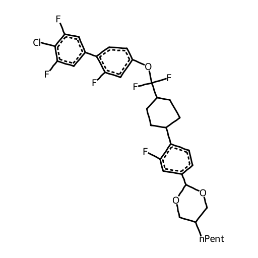 CCCCCC1COC(c2ccc(C3CCC(C(F)(F)Oc4ccc(-c5cc(F)c(Cl)c(F)c5)c(F)c4)CC3)c(F)c2)OC1